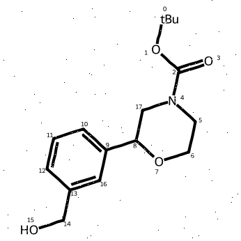 CC(C)(C)OC(=O)N1CCOC(c2cccc(CO)c2)C1